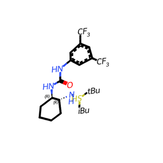 CCC(C)[SH](N[C@@H]1CCCC[C@H]1NC(=O)Nc1cc(C(F)(F)F)cc(C(F)(F)F)c1)C(C)(C)C